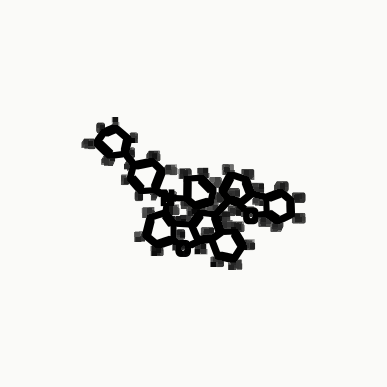 c1ccc(-c2ccc(N(c3ccccc3)c3cccc4oc5c6ccccc6c(-c6cccc7c6oc6ccccc67)cc5c34)cc2)cc1